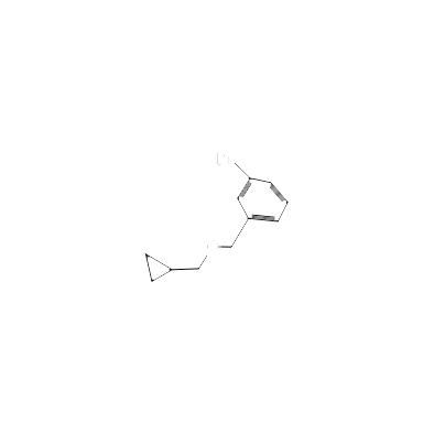 Brc1cccc([CH]OCC2CC2)c1